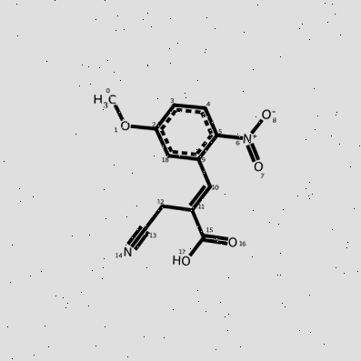 COc1ccc([N+](=O)[O-])c(/C=C(\CC#N)C(=O)O)c1